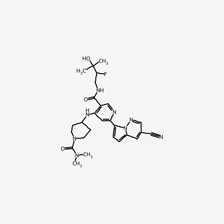 CN(C)C(=O)N1CCC(Nc2cc(-c3ccc4cc(C#N)cnn34)ncc2C(=O)NCC(F)C(C)(C)O)CC1